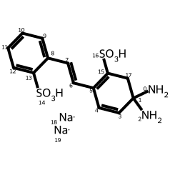 NC1(N)C=CC(C=Cc2ccccc2S(=O)(=O)O)=C(S(=O)(=O)O)C1.[Na].[Na]